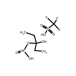 CCC(O)(CC)O[PH](=O)O.O=S(=O)(O)C(F)(F)F